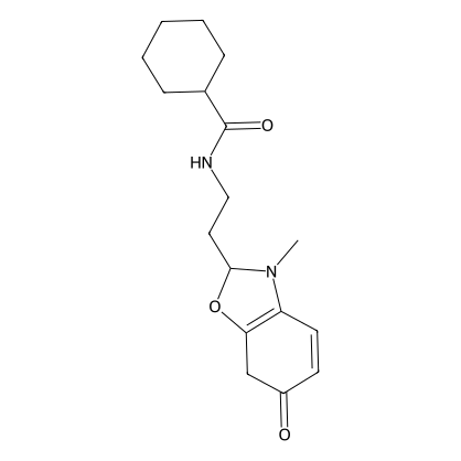 CN1C2=C(CC(=O)C=C2)OC1CCNC(=O)C1CCCCC1